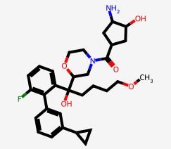 COCCCCC(O)(c1cccc(F)c1-c1cccc(C2CC2)c1)C1CN(C(=O)C2CC(N)C(O)C2)CCO1